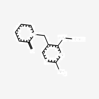 CCCCCNc1nc(N)ncc1Cn1ccccc1=O